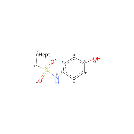 CCCCCCCCS(=O)(=O)Nc1ccc(O)cc1